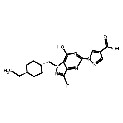 CC[C@H]1CC[C@H](Cn2nc(F)c3nc(-n4cc(C(=O)O)cn4)nc(O)c32)CC1